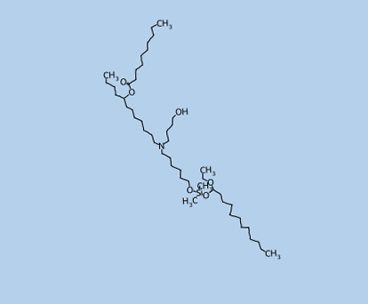 CCCCCCCCCCCC(OCC)O[Si](C)(C)OCCCCCCN(CCCCO)CCCCCCCC(CCCC)OC(=O)CCCCCCCCC